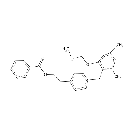 COCOc1cc(C)cc(C)c1Cc1ccc(CCOC(=O)c2ccccc2)cc1